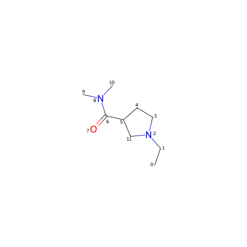 CCN1CCC(C(=O)N(C)C)C1